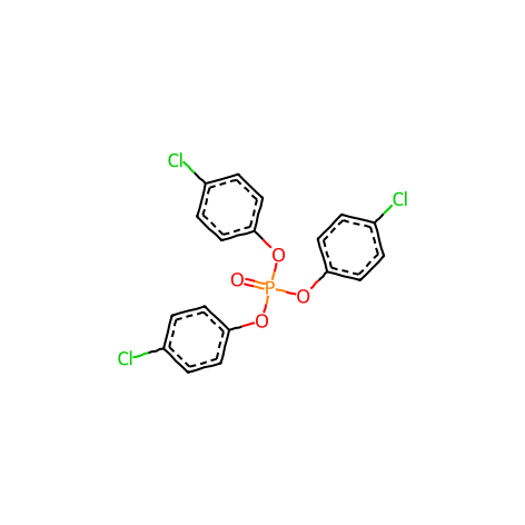 O=P(Oc1ccc(Cl)cc1)(Oc1ccc(Cl)cc1)Oc1ccc(Cl)cc1